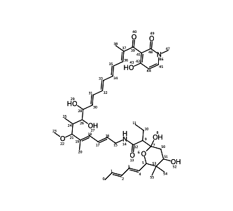 C/C=C/C=C/C1OC(O)(C(CC)C(=O)NC/C=C/C=C(\C)C(OC)C(C)C(O)C(O)/C=C/C=C/C=C/C=C(\C)C(=O)c2c(O)ccn(C)c2=O)CC(O)C1(C)C